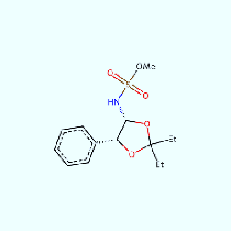 CCC1(CC)O[C@@H](NS(=O)(=O)OC)[C@@H](c2ccccc2)O1